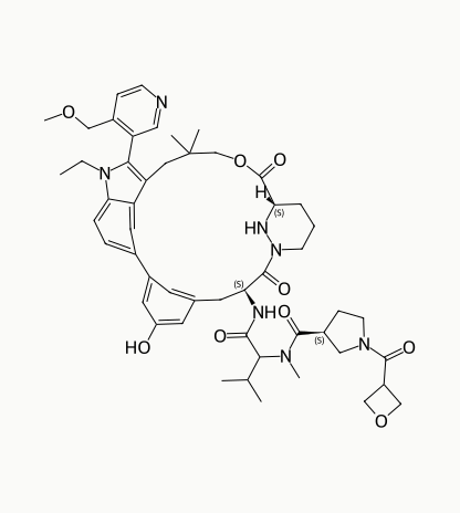 CCn1c(-c2cnccc2COC)c2c3cc(ccc31)-c1cc(O)cc(c1)C[C@H](NC(=O)C(C(C)C)N(C)C(=O)[C@H]1CCN(C(=O)C3COC3)C1)C(=O)N1CCC[C@H](N1)C(=O)OCC(C)(C)C2